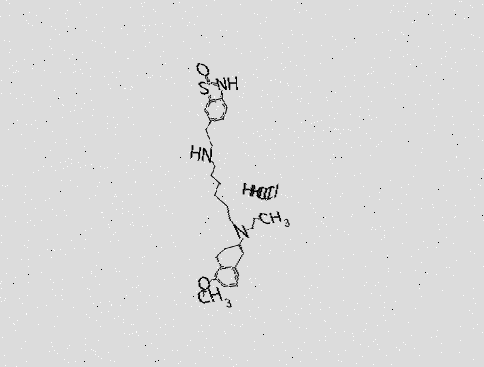 CCCN(CCCCCCNCCc1ccc2[nH]c(=O)sc2c1)C1CCc2c(cccc2OC)C1.Cl.Cl